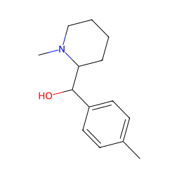 Cc1ccc(C(O)C2CCCCN2C)cc1